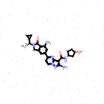 Cc1cc(-c2ccn3nc(N)c(C(=O)N[C@@H]4CC[C@@H](O)C4)c3n2)cc2c1C(=O)N([C@@H](C)C1CC1)C2